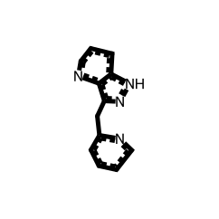 c1ccc(Cc2n[nH]c3cccnc23)nc1